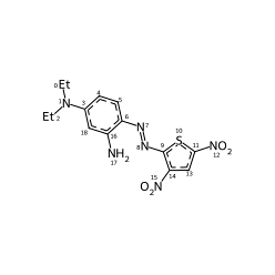 CCN(CC)c1ccc(N=Nc2sc([N+](=O)[O-])cc2[N+](=O)[O-])c(N)c1